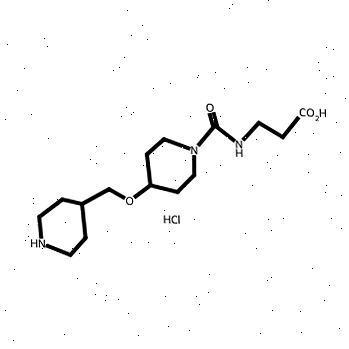 Cl.O=C(O)CCNC(=O)N1CCC(OCC2CCNCC2)CC1